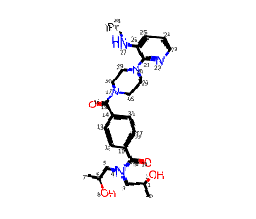 CC(O)CN(CC(C)O)C(=O)c1ccc(C(=O)N2CCN(c3ncccc3NC(C)C)CC2)cc1